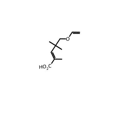 C=COCC(C)(C)C=C(C)C(=O)O